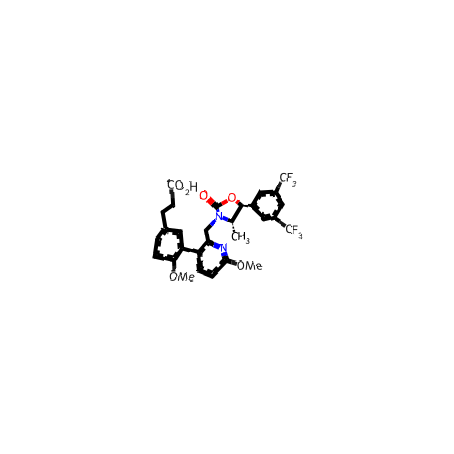 COc1ccc(-c2cc(CCC(=O)O)ccc2OC)c(CN2C(=O)O[C@@H](c3cc(C(F)(F)F)cc(C(F)(F)F)c3)[C@@H]2C)n1